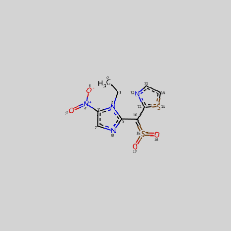 CCn1c([N+](=O)[O-])cnc1C(c1nccs1)=S(=O)=O